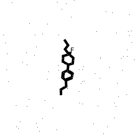 CCCc1ccc(C2CCC(F)(CCC)CC2)cc1